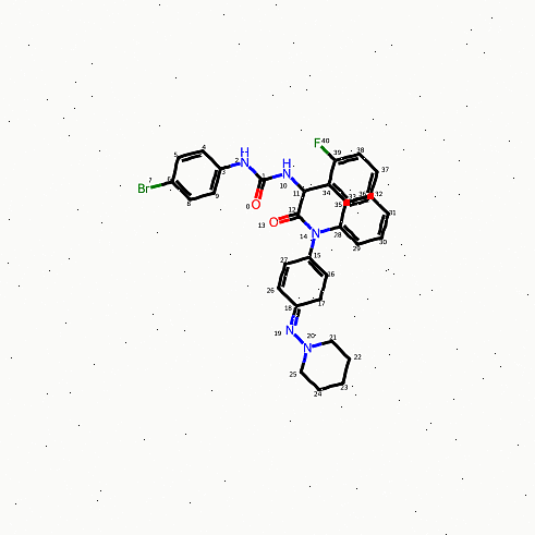 O=C(Nc1ccc(Br)cc1)NC(C(=O)N(C1=CCC(=NN2CCCCC2)C=C1)c1ccccc1)c1ccccc1F